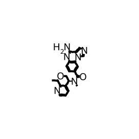 CC1OC[C@@H](N(C)C(=O)c2ccc3nc(N)c4cncn4c3c2)c2cccnc21